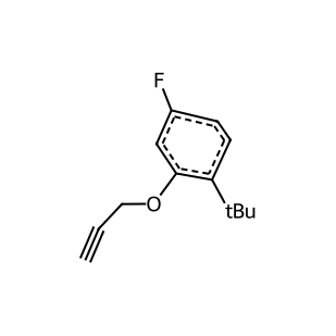 C#CCOc1cc(F)ccc1C(C)(C)C